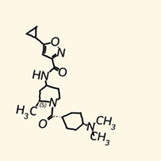 C[C@H]1CC(NC(=O)c2cc(C3CC3)on2)CCN1C(=O)[C@H]1CC[C@H](N(C)C)CC1